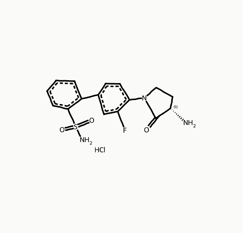 Cl.N[C@H]1CCN(c2ccc(-c3ccccc3S(N)(=O)=O)cc2F)C1=O